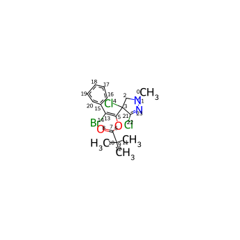 CN1CC(Cl)(C(OC(=O)C(C)(C)C)=C(Br)c2ccccc2)C(Cl)=N1